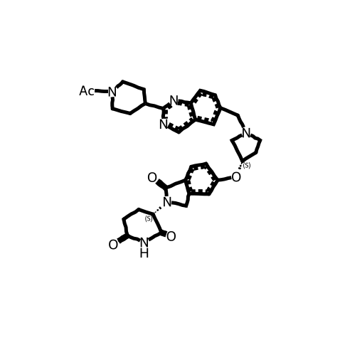 CC(=O)N1CCC(c2ncc3cc(CN4CC[C@H](Oc5ccc6c(c5)CN([C@H]5CCC(=O)NC5=O)C6=O)C4)ccc3n2)CC1